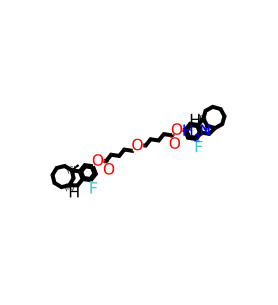 C[C@@]12CCCCC[C@@H](Cc3c(F)cc(OC(=O)CCCCOCCCCC(=O)Oc4cc(F)c5c(c4)[C@H]4CCCCCC(C5)C4N)cc31)C2